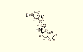 O=C([CH]c1coc2ccc(Br)cc12)Nc1ccc2ccccc2c1